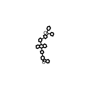 c1ccc(C2Oc3cc(-c4cccc(-c5c6ccccc6c(-c6ccc(-c7ccc8oc9ccccc9c8c7)cc6)c6ccccc56)c4)ccc3C2c2ccccc2)cc1